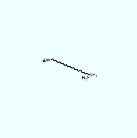 CCCCCCCCCCCCCCCCCCCCCCCCCCCCCCCC(N)N